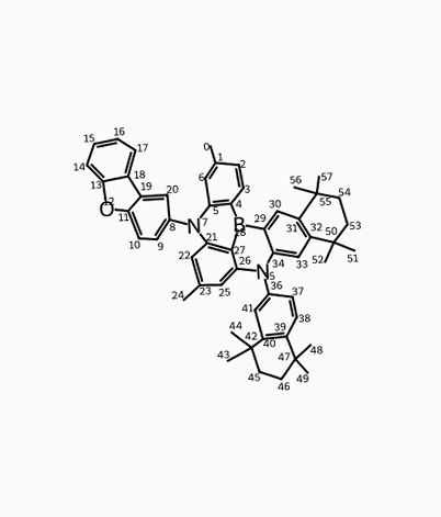 Cc1ccc2c(c1)N(c1ccc3oc4ccccc4c3c1)c1cc(C)cc3c1B2c1cc2c(cc1N3c1ccc3c(c1)C(C)(C)CCC3(C)C)C(C)(C)CCC2(C)C